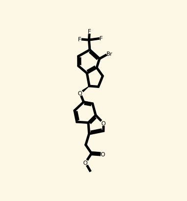 COC(=O)Cc1coc2cc(O[C@@H]3CCc4c3ccc(C(F)(F)F)c4Br)ccc12